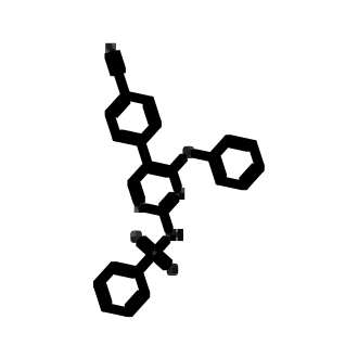 N#Cc1ccc(-c2cnc(NS(=O)(=O)c3ccccc3)nc2Oc2ccccc2)cc1